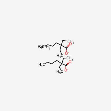 CCCCC(CC)(CC)C(=O)[O-].CCCCC(CC)(CC)C(=O)[O-].[SnH2+2]